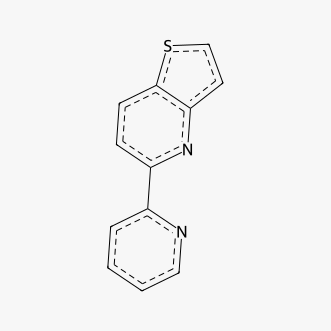 c1ccc(-c2ccc3sccc3n2)nc1